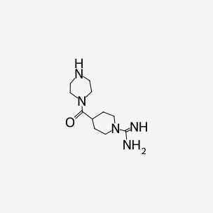 N=C(N)N1CCC(C(=O)N2CCNCC2)CC1